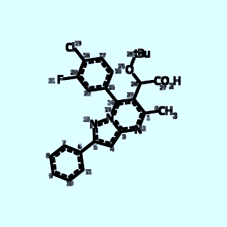 Cc1nc2cc(-c3ccccc3)nn2c(-c2ccc(Cl)c(F)c2)c1C(OC(C)(C)C)C(=O)O